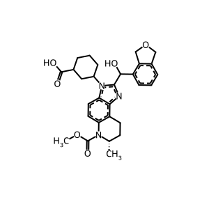 COC(=O)N1c2ccc3c(nc(C(O)c4cccc5c4COC5)n3C3CCCC(C(=O)O)C3)c2CC[C@@H]1C